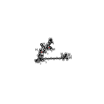 CNCc1cc(NC(=O)[C@H](CCCNC(N)=O)NC(=O)[C@@H](NC(=O)CCOCCOCCOCCOCCOCCOCCNC(=O)[C@H](CCC(=O)O)NC(=O)OC(C)(C)C)C(C)C)ccc1C[N+](C)(C)CCC[C@@H]1Cc2ccccc2CN1C(=O)c1ccc(Cl)cc1-c1cc(C(=O)N(c2ccc(O)cc2)c2cc(C#N)n(C)c2C)c(C)n1C.O=C([O-])C(F)(F)F